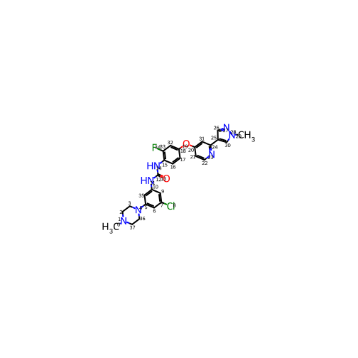 CN1CCN(c2cc(Cl)cc(NC(=O)Nc3ccc(Oc4ccnc(-c5cnn(C)c5)c4)cc3F)c2)CC1